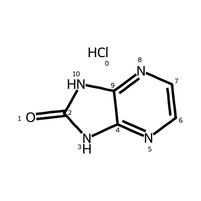 Cl.O=c1[nH]c2nccnc2[nH]1